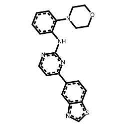 c1ccc(N2CCOCC2)c(Nc2nccc(-c3ccc4scnc4c3)n2)c1